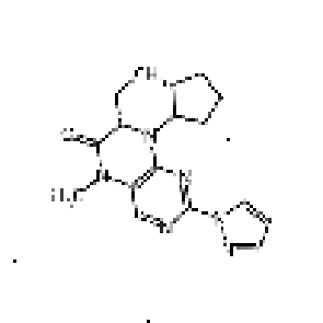 CCC1C(=O)N(C)c2cnc(-n3cccn3)nc2N1C1CCCC1